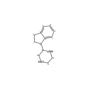 c1ccc2c(c1)CCC2C1CNCCN1